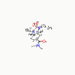 CN(C)C(=O)[C@H]1CC[C@H]2[C@@H](C1)N(C(=O)O)S(=O)(=O)N2C(C)(C)C